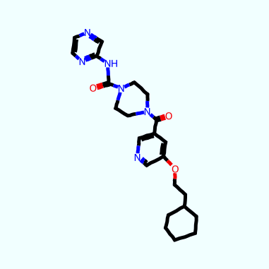 O=C(Nc1cnccn1)N1CCN(C(=O)c2cncc(OCCC3CCCCC3)c2)CC1